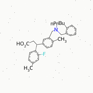 CCCN(Cc1cc(C(CC(=O)O)c2ccc(C)cc2F)ccc1C)Cc1ccccc1C(C)CC